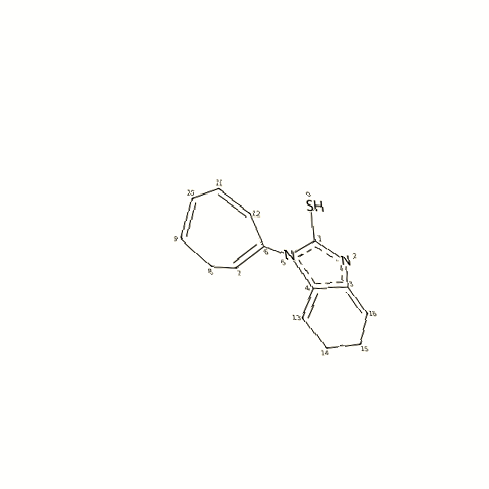 Sc1nc2c(n1C1=CCC=CC=C1)=CCCC=2